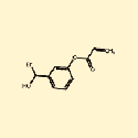 C=CC(=O)Oc1cccc(C(O)CC)c1